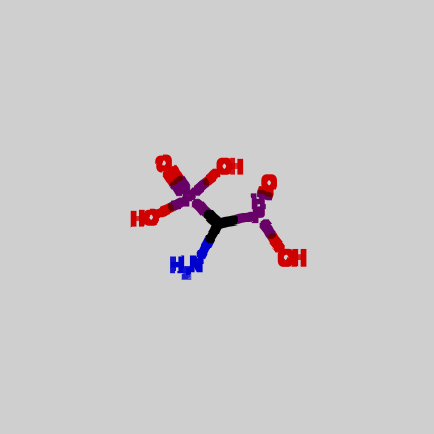 NC([PH](=O)O)P(=O)(O)O